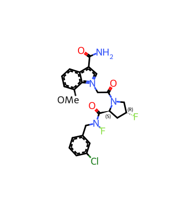 COc1cccc2c(C(N)=O)cn(CC(=O)N3C[C@H](F)C[C@H]3C(=O)N(F)Cc3cccc(Cl)c3)c12